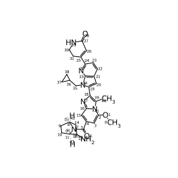 COc1cc(C(=O)N2[C@H]3CC[C@@H]2[C@H](N)C3)cc2nc(-c3cc4ccc(C5=CC(=O)NCC5)nc4n3CC3CC3)c(C)n12